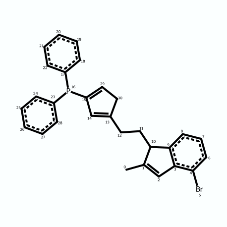 CC1=Cc2c(Br)cccc2C1CCC1=CC(P(c2ccccc2)c2ccccc2)=CC1